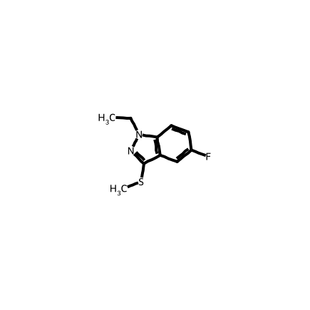 CCn1nc(SC)c2cc(F)ccc21